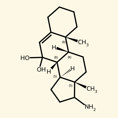 C[C@]12CCCCC1=CC(O)(O)[C@@H]1[C@H]2CC[C@]2(C)C(N)CC[C@@H]12